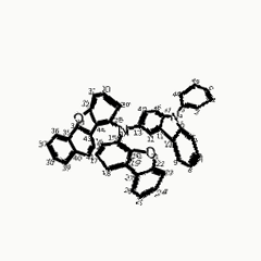 c1ccc(-n2c3ccccc3c3cc(N(c4cccc5c4oc4ccccc45)c4cccc5oc6c7ccccc7ccc6c45)ccc32)cc1